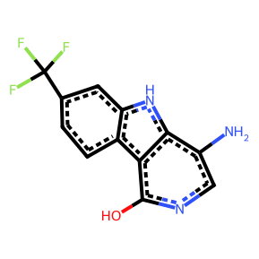 Nc1cnc(O)c2c1[nH]c1cc(C(F)(F)F)ccc12